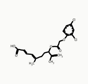 C=C(C)C(CCC(C)=CC=CC(=O)O)OC(=O)COc1ccc(Cl)cc1Cl